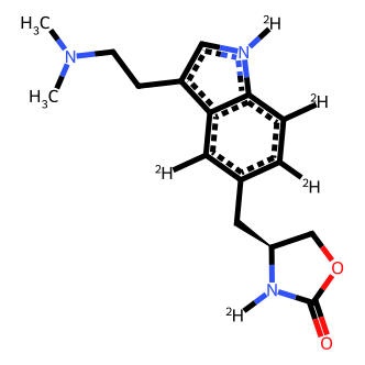 [2H]c1c(C[C@H]2COC(=O)N2[2H])c([2H])c2c(CCN(C)C)cn([2H])c2c1[2H]